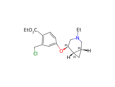 CCOC(=O)c1ccc(O[C@H]2CN(CC)C[C@@H]3C[C@@H]32)cc1CCl